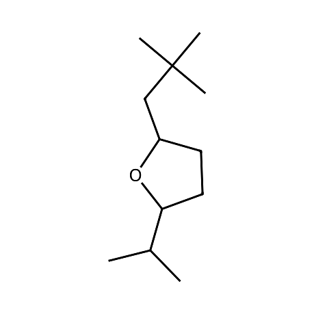 CC(C)C1CCC(CC(C)(C)C)O1